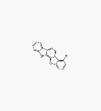 Brc1cccc2oc3c(ccc4c5ccccc5oc43)c12